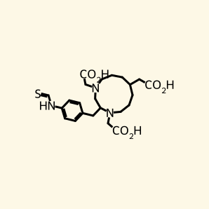 O=C(O)CC1CCCN(CC(=O)O)CC(Cc2ccc(NC=S)cc2)N(CC(=O)O)CCC1